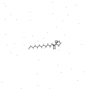 CCCCCCCCCCCCNC(O)CC